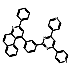 c1ccc(-c2cc(-c3cccc(-c4nc(-c5ccncc5)cc(-c5ccncc5)n4)c3)c3c(ccc4ccccc43)n2)cc1